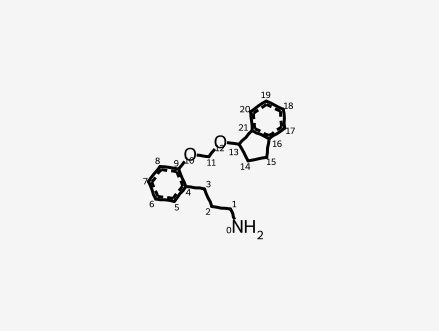 NCCCc1ccccc1OCOC1CCc2ccccc21